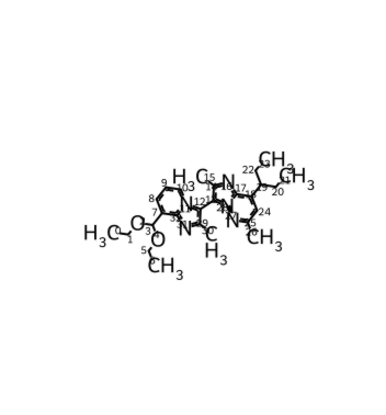 CCOC(OCC)c1cccn2c(-c3c(C)nc4c(C(CC)CC)cc(C)nn34)c(C)nc12